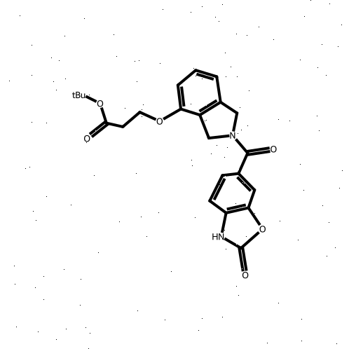 CC(C)(C)OC(=O)CCOc1cccc2c1CN(C(=O)c1ccc3[nH]c(=O)oc3c1)C2